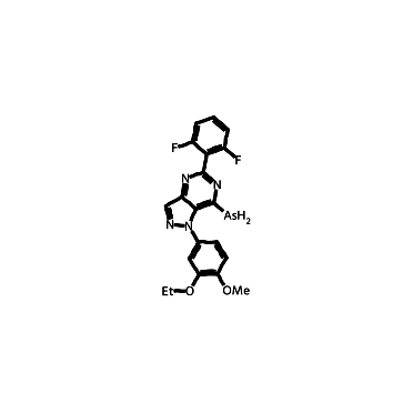 CCOc1cc(-n2ncc3nc(-c4c(F)cccc4F)nc([AsH2])c32)ccc1OC